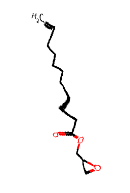 C=CCCCCCCCCC(=O)OCC1CO1